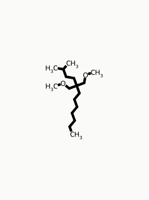 CCCCCCCC(CCC(C)C)(COC)COC